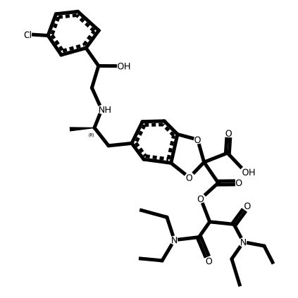 CCN(CC)C(=O)C(OC(=O)C1(C(=O)O)Oc2ccc(C[C@@H](C)NCC(O)c3cccc(Cl)c3)cc2O1)C(=O)N(CC)CC